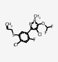 C=CCSc1cc(-c2nn(C)c(OC(F)F)c2Cl)c(F)cc1Cl